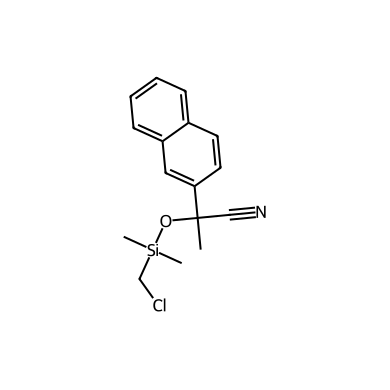 CC(C#N)(O[Si](C)(C)CCl)c1ccc2ccccc2c1